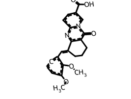 COc1cccc(C=C2CCCc3c2nc2ccc(C(=O)O)cn2c3=O)c1OC